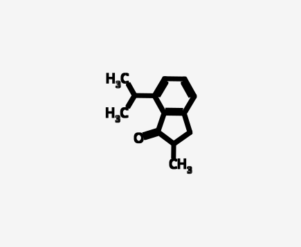 CC1Cc2cccc(C(C)C)c2C1=O